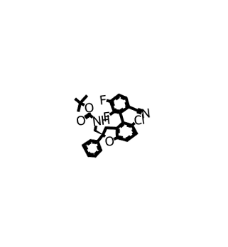 CC(C)(C)OC(=O)NC[C@@]1(c2ccccc2)Cc2c(ccc(Cl)c2-c2c(C#N)ccc(F)c2F)O1